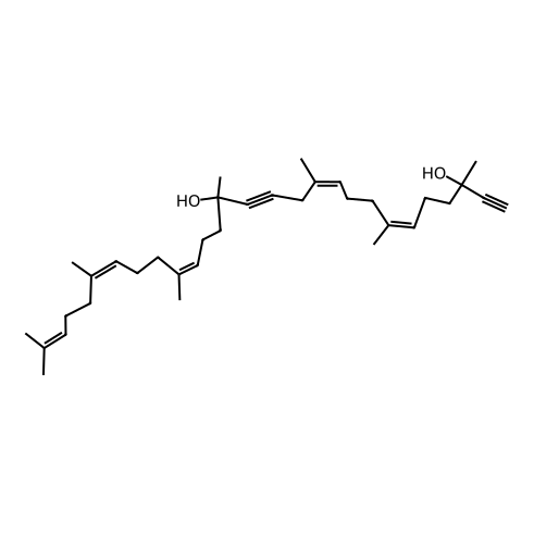 C#CC(C)(O)CCC=C(C)CCC=C(C)CC#CC(C)(O)CCC=C(C)CCC=C(C)CCC=C(C)C